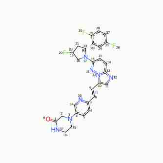 O=C1CN(c2ccc(/C=C/c3cnc4ccc(N5C[C@@H](F)C[C@@H]5c5cc(F)ccc5F)nn34)nc2)CCN1